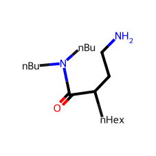 CCCCCCC(CCN)C(=O)N(CCCC)CCCC